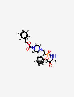 COC(=O)[C@H](C)NP(=O)(CCN1CCN(C(=O)OCc2ccccc2)CC1)Oc1ccccc1